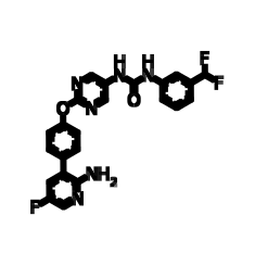 Nc1ncc(F)cc1-c1ccc(Oc2ncc(NC(=O)Nc3cccc(C(F)F)c3)cn2)cc1